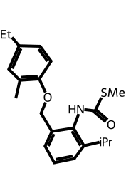 CCc1ccc(OCc2cccc(C(C)C)c2NC(=O)SC)c(C)c1